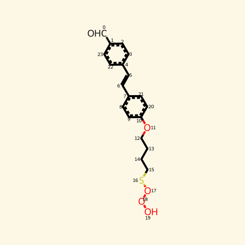 O=Cc1ccc(/C=C/c2ccc(OCCCCSOOO)cc2)cc1